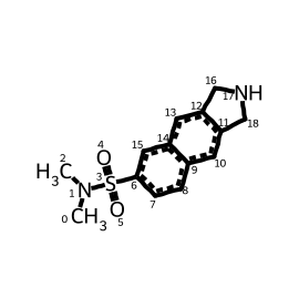 CN(C)S(=O)(=O)c1ccc2cc3c(cc2c1)CNC3